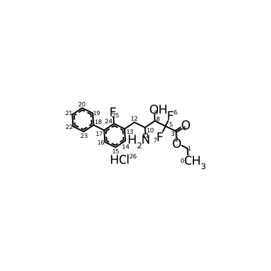 CCOC(=O)C(F)(F)C(O)C(N)Cc1cccc(-c2ccccc2)c1F.Cl